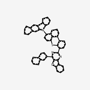 c1cc(-c2nc(-c3ccc4ccccc4c3)c3sc4ccccc4c3n2)c2c(c1)-c1cccc3c(-n4c5ccccc5c5cc6ccccc6cc54)ccc(c13)S2